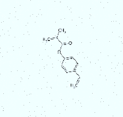 C=Cc1ccc(OC(=O)C(=C)C)cc1